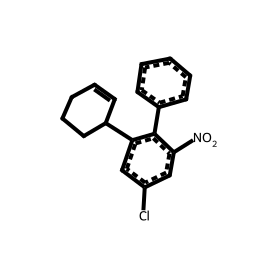 O=[N+]([O-])c1cc(Cl)cc(C2C=CCCC2)c1-c1ccccc1